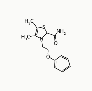 CC1=C(C)N(CCOc2ccccc2)C(C(N)=O)S1